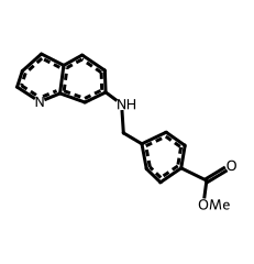 COC(=O)c1ccc(CNc2ccc3cccnc3c2)cc1